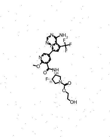 COc1ncc(-c2cc(C(F)(F)F)c3c(N)ncnn23)cc1C(=O)N[C@@H]1CN(C(=O)OCCO)C[C@@H]1F